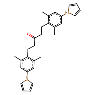 Cc1cc([SH]2C=CC=C2)cc(C)c1CCC(=O)CCc1c(C)cc([SH]2C=CC=C2)cc1C